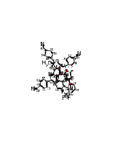 C=CCc1cc(-c2ccc(C#N)cc2)ccc1N(C#N)c1cccc(-c2c(C(F)(F)F)cccc2C(F)(F)F)c1-c1c(C#N)cccc1-n1c2ccc(-c3ccc(C#N)cc3)cc2c2cc(-c3ccc(C#N)cc3)ccc21